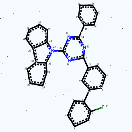 Fc1ccccc1-c1cccc(-c2nc(-c3ccccc3)nc(-n3c4ccccc4c4ccccc43)n2)c1